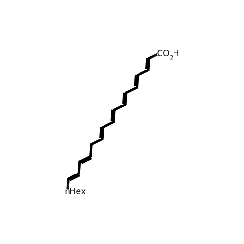 CCCCCCC=CC=CCC=CC=CC=CC=CC=CC(=O)O